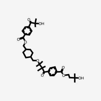 CC(C)(O)CCOC(=O)c1ccc(C(=O)C(C)(C)C(C)(C)OCC2CCC(COC(=O)c3ccc(C(=O)C(C)(C)O)cc3)CC2)cc1